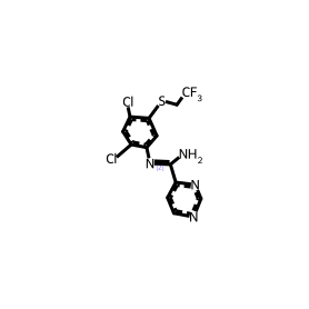 N/C(=N\c1cc(SCC(F)(F)F)c(Cl)cc1Cl)c1ccncn1